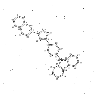 c1ccc2cc(-c3noc(-c4ccc(-n5c6ccccc6c6ccccc65)cc4)n3)ccc2c1